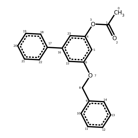 CC(=O)Oc1cc(OCc2ccccc2)cc(-c2ccccc2)c1